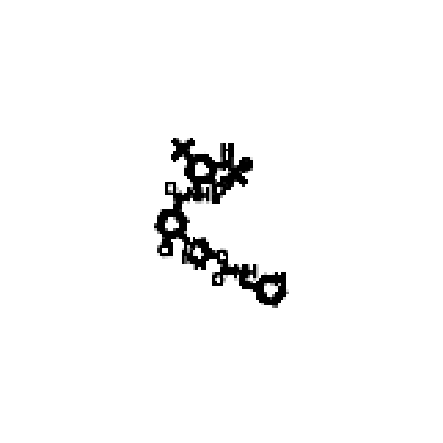 COc1c(NC(=O)c2ccc(Cl)c(-n3cc(OC(=O)NCc4cccnc4)nn3)c2)cc(C(C)(C)C)cc1NS(C)(=O)=O